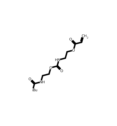 C=CC(=O)OCCNC(=O)OCCNC(=O)C(C)CC